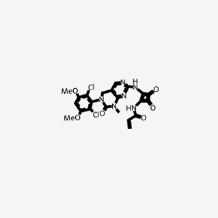 C=CC(=O)Nc1c(Nc2ncc3c(n2)N(C)C(=O)N(c2c(Cl)c(OC)cc(OC)c2Cl)C3)c(=O)c1=O